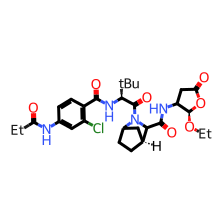 CCO[C@@H]1OC(=O)CC1NC(=O)C1[C@H]2CCC(C2)N1C(=O)[C@@H](NC(=O)c1ccc(NC(=O)CC)cc1Cl)C(C)(C)C